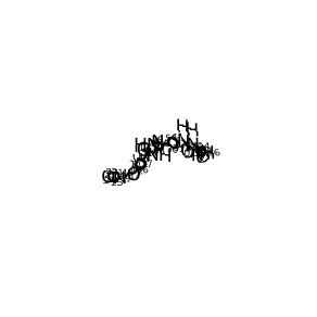 O=C(Nc1ccc(-c2cc(NC(=O)c3ccc(OCCN4CCOCC4)cc3)[nH]n2)cc1)Nc1cc(I)on1